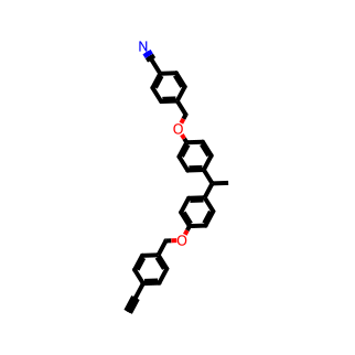 C#Cc1ccc(COc2ccc(C(C)c3ccc(OCc4ccc(C#N)cc4)cc3)cc2)cc1